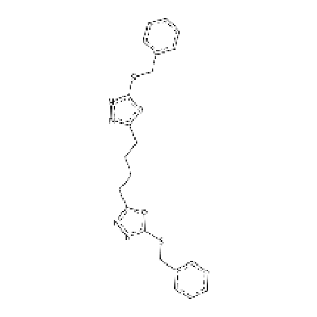 c1ccc(CSc2nnc(CCCCc3nnc(SCc4ccccc4)o3)o2)cc1